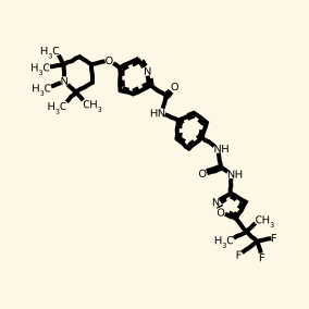 CN1C(C)(C)CC(Oc2ccc(C(=O)Nc3ccc(NC(=O)Nc4cc(C(C)(C)C(F)(F)F)on4)cc3)nc2)CC1(C)C